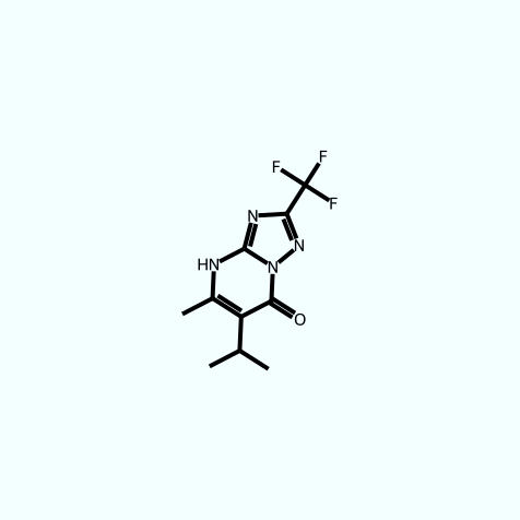 Cc1[nH]c2nc(C(F)(F)F)nn2c(=O)c1C(C)C